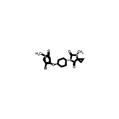 CN1C(=O)N([C@H]2CC[C@H](Oc3cc(=O)n(C)cc3Br)CC2)C(=O)C12CC2